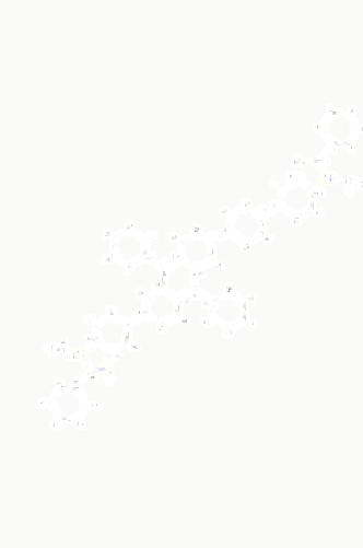 CC(C)(C)n1c(-c2ccccc2)nc2cc(-c3ccc(-c4ccc5c(-c6ccccc6)c6cc(-c7ccc8c(c7)nc(-c7ccccc7)n8C(C)(C)C)ccc6c(-c6ccccc6)c5c4)cc3)ccc21